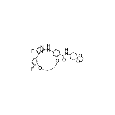 O=C(NC1CCC2(CC1)OCCO2)c1ccc2cc1OCCCCCOc1cc(ccc1F)-c1nc(ncc1F)N2